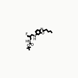 CCCCc1nc2ccc(NC/C(=C\F)CNC(=O)OC(C)(C)C)cc2o1